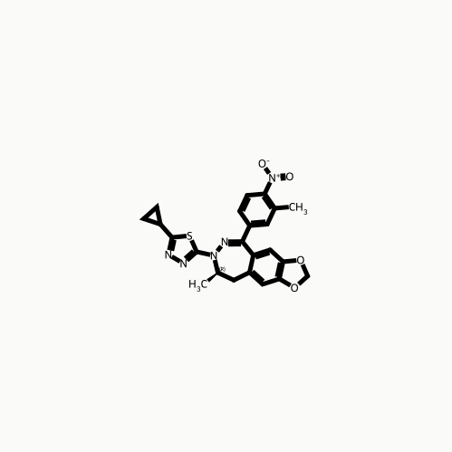 Cc1cc(C2=NN(c3nnc(C4CC4)s3)[C@H](C)Cc3cc4c(cc32)OCO4)ccc1[N+](=O)[O-]